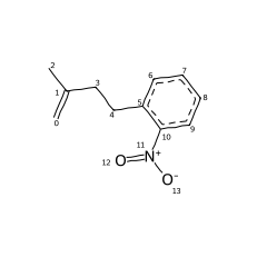 C=C(C)CCc1ccccc1[N+](=O)[O-]